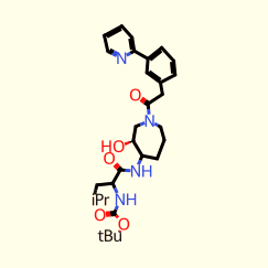 CC(C)CC(NC(=O)OC(C)(C)C)C(=O)NC1CCCN(C(=O)Cc2cccc(-c3ccccn3)c2)C[C@@H]1O